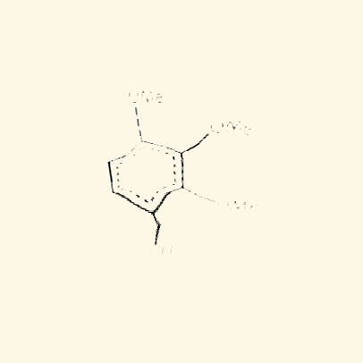 [CH]c1ccc(OC)c(OC)c1OC